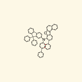 c1ccc(-c2ccc(N(c3ccc4c(c3)C(c3ccccc3)(c3ccccc3)c3ccccc3-4)c3c(-c4ccccc4)ccc4c3oc3ccc5ccccc5c34)cc2)cc1